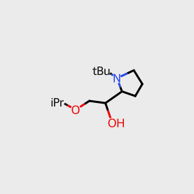 CC(C)OCC(O)C1CCCN1C(C)(C)C